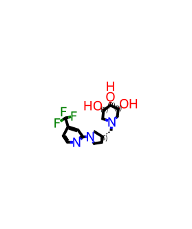 O[C@H]1[C@H](O)CN(C[C@@H]2CCN(c3cc(C(F)(F)F)ccn3)C2)C[C@@H]1O